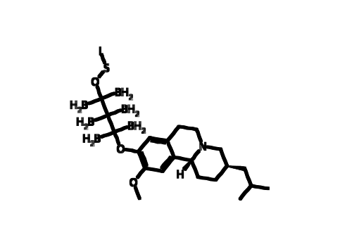 BC(B)(OSI)C(B)(B)C(B)(B)Oc1cc2c(cc1OC)[C@H]1CC[C@H](CC(C)C)CN1CC2